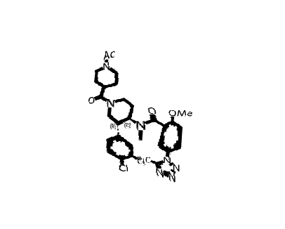 COc1ccc(-n2nnnc2C(F)(F)F)cc1C(=O)N(C)[C@@H]1CCN(C(=O)C2CCN(C(C)=O)CC2)C[C@H]1c1ccc(Cl)c(Cl)c1